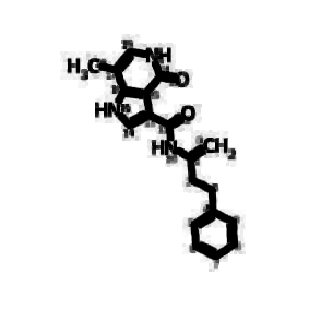 C=C(CCc1ccccc1)NC(=O)c1c[nH]c2c(C)c[nH]c(=O)c12